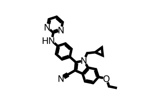 CCOc1ccc2c(C#N)c(-c3ccc(Nc4ncccn4)cc3)n(CC3CC3)c2c1